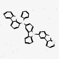 c1ccc(P(c2ccc3c(c2)c2ccccc2n3-c2ccc3oc4ncccc4c3c2)c2cccc3c2sc2ccccc23)cc1